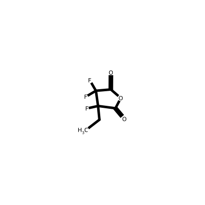 CCC1(F)C(=O)OC(=O)C1(F)F